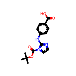 CC(C)(C)OC(=O)n1ccnc1Nc1ccc(C(=O)O)cc1